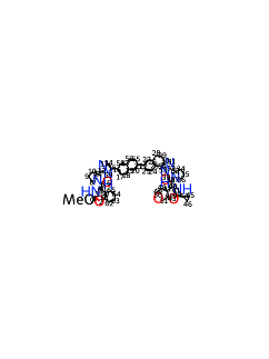 COC(=O)N[C@@H](C(=O)N1CCC[C@H]1c1ncc(-c2ccc3cc(-c4ccc5c(c4)CCc4nc([C@@H]6CCCN6C(=O)[C@@H](NC(=O)C6CC6)C6CCOCC6)[nH]c4-5)ccc3c2)[nH]1)c1ccccc1